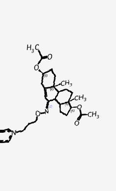 CC(=O)O[C@H]1CC[C@@]2(C)C(=C/C(=N\OCCCn3ccnc3)C3C2CC[C@@]2(C)C3CC[C@@H]2OC(C)=O)C1